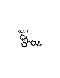 O=C(O)[C@H]1CCN2c3ncccc3N(c3ccc(C(F)(F)F)cc3)C[C@H]2C1